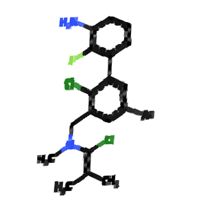 CC(=O)c1cc(CN(C)C(Cl)=C(C)C)c(Cl)c(-c2cccc(N)c2F)c1